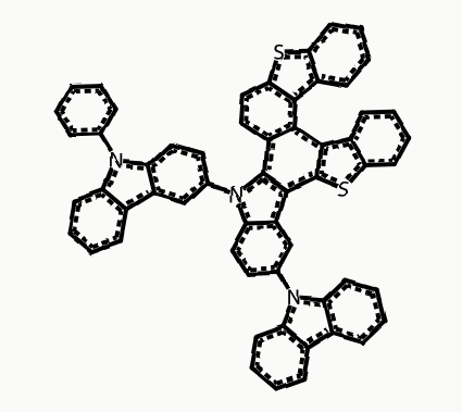 c1ccc(-n2c3ccccc3c3cc(-n4c5ccc(-n6c7ccccc7c7ccccc76)cc5c5c6sc7ccccc7c6c6c(ccc7sc8ccccc8c76)c54)ccc32)cc1